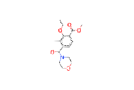 CCOc1c(C(=O)OC)ccc(C(=O)N2CCOCC2)c1C